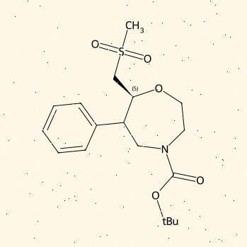 CC(C)(C)OC(=O)N1CCO[C@H](CS(C)(=O)=O)C(c2ccccc2)C1